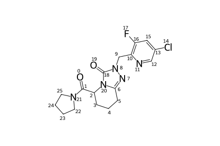 O=C(C1CCCc2nn(Cc3ncc(Cl)cc3F)c(=O)n21)N1CCCC1